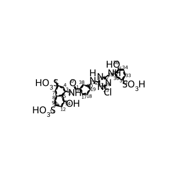 O=C(Nc1cc(S(=O)(=O)O)cc2cc(S(=O)(=O)O)cc(O)c12)c1cccc(Nc2nc(Cl)nc(Nc3cc(S(=O)(=O)O)ccc3O)n2)c1